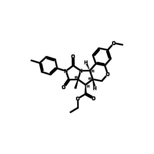 CCOC(=O)[C@@H]1[C@H]2COc3cc(OC)ccc3[C@@H]2N2C(=O)N(c3ccc(C)cc3)C(=O)[C@@]12C